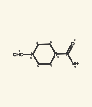 [NH]C(=O)N1CCN(C=O)CC1